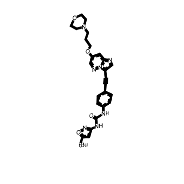 CC(C)(C)c1cc(NC(=O)Nc2ccc(C#Cc3cnc4cc(OCCCN5CCOCC5)cnn34)cc2)no1